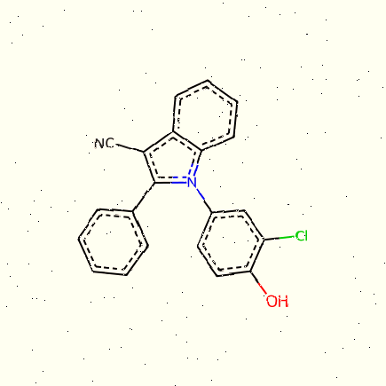 N#Cc1c(-c2ccccc2)n(-c2ccc(O)c(Cl)c2)c2ccccc12